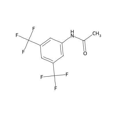 CC(=O)Nc1cc(C(F)(F)F)cc(C(F)(F)F)c1